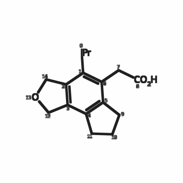 CC(C)c1c2c(c3c(c1CC(=O)O)CCC3)COC2